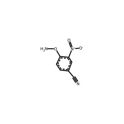 N#Cc1ccc(ON)c([N+](=O)[O-])c1